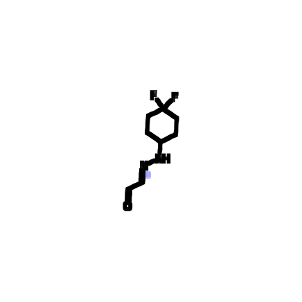 O=C/C=N/NC1CCC(F)(F)CC1